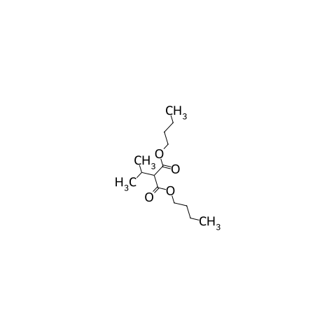 CCCCOC(=O)C(C(=O)OCCCC)C(C)C